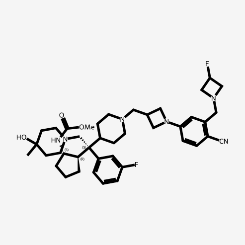 COC(=O)N[C@H]1CCC[C@@H]1[C@](CN1CCC(C)(O)CC1)(c1cccc(F)c1)C1CCN(CC2CN(c3ccc(C#N)c(CN4CC(F)C4)c3)C2)CC1